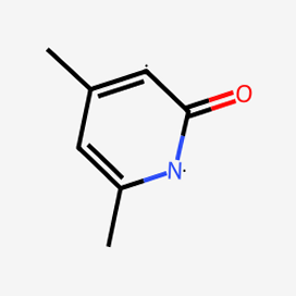 CC1=[C]C(=O)[N]C(C)=C1